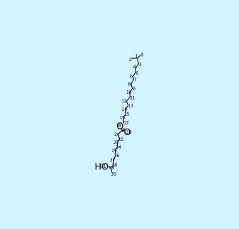 CC(C)CCCCCCCCCCCCCCCOC(=O)CCCCCCCCC(C)O